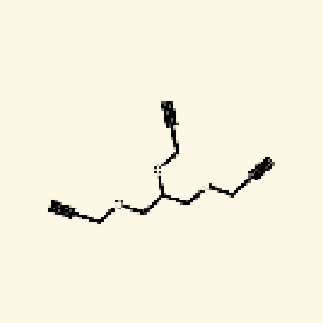 C#CCOCC(COCC#C)OCC#C